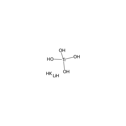 [KH].[LiH].[OH][Ti]([OH])([OH])[OH]